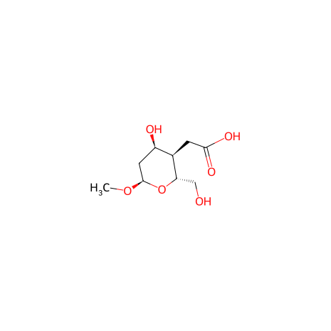 CO[C@H]1C[C@@H](O)[C@@H](CC(=O)O)[C@H](CO)O1